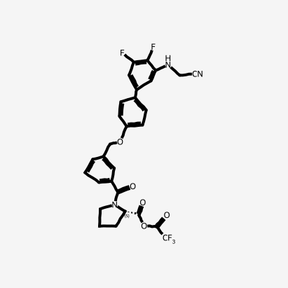 N#CCNc1cc(-c2ccc(OCc3cccc(C(=O)N4CCC[C@H]4C(=O)OC(=O)C(F)(F)F)c3)cc2)cc(F)c1F